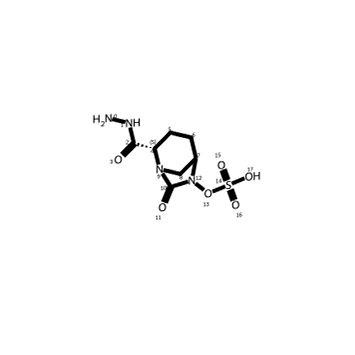 NNC(=O)[C@@H]1CCC2CN1C(=O)N2OS(=O)(=O)O